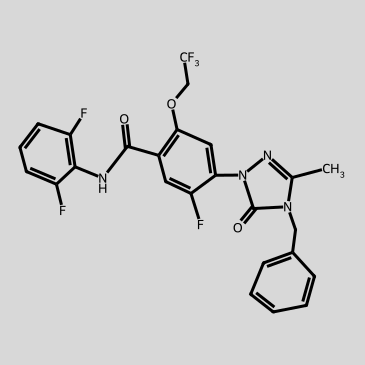 Cc1nn(-c2cc(OCC(F)(F)F)c(C(=O)Nc3c(F)cccc3F)cc2F)c(=O)n1Cc1ccccc1